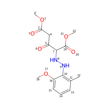 COC(=O)CC(=O)C(NNc1c(C)cccc1OC)C(=O)OC